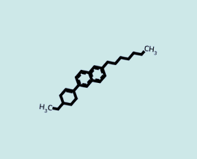 CCCCCCCc1ccc2cc(C3=CCC(CC)CC3)ccc2c1